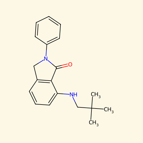 CC(C)(C)CNc1cccc2c1C(=O)N(c1ccccc1)C2